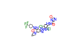 COc1cncc(C(=O)NCc2ccc(Cl)c(Nc3nc4cc(C(=O)N[C@H]5CC[C@H](C(F)(F)F)CC5)c(N5CC6CC6C5)cc4n3C)c2Cl)n1